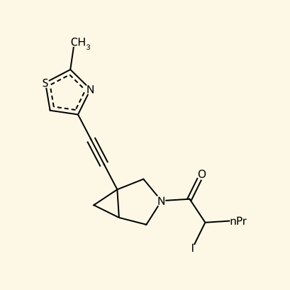 CCCC(I)C(=O)N1CC2CC2(C#Cc2csc(C)n2)C1